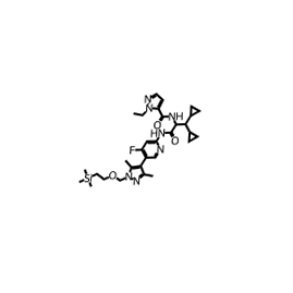 CCn1nccc1C(=O)NC(C(=O)Nc1cc(F)c(-c2c(C)nn(COCC[Si](C)(C)C)c2C)cn1)C(C1CC1)C1CC1